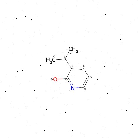 CC(C)c1cccnc1[O]